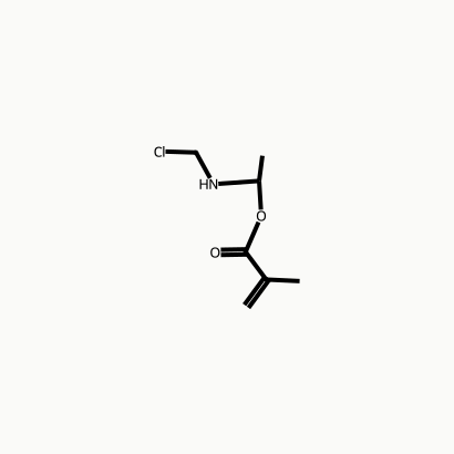 C=C(C)C(=O)OC(C)NCCl